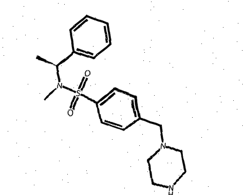 C[C@@H](c1ccccc1)N(C)S(=O)(=O)c1ccc(CN2CCNCC2)cc1